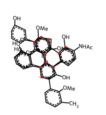 COc1cc(OC)c(-c2cccc(O)c2)c(-c2c(O)cccc2-c2cccc(-c3ncc(NC(C)=O)cc3-c3cccc(-c4c(O)cccc4-c4[c]c(-c5cccc(C)c5OC)c(O)c(-c5cccc(O)c5)c4-c4cccc(Cl)c4C)c3Cl)c2Br)c1